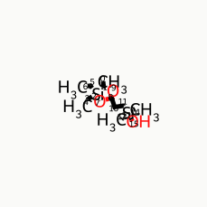 CC[Si](CC)(CC)OC(=O)CC[Si](C)(C)O